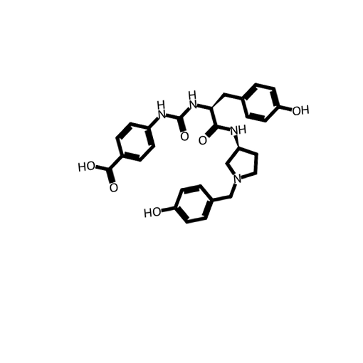 O=C(Nc1ccc(C(=O)O)cc1)N[C@@H](Cc1ccc(O)cc1)C(=O)N[C@H]1CCN(Cc2ccc(O)cc2)C1